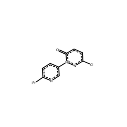 CC(C)c1ccc(-n2nc(Cl)ccc2=O)cn1